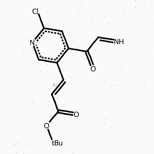 CC(C)(C)OC(=O)/C=C/c1cnc(Cl)cc1C(=O)C=N